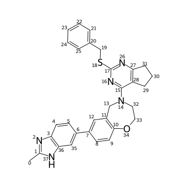 Cc1nc2ccc(-c3ccc4c(c3)CN(c3nc(SCc5ccccc5)nc5c3CCC5)CCO4)cc2[nH]1